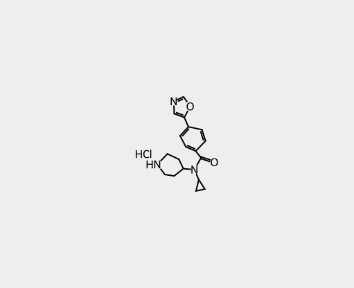 Cl.O=C(c1ccc(-c2cnco2)cc1)N(C1CCNCC1)C1CC1